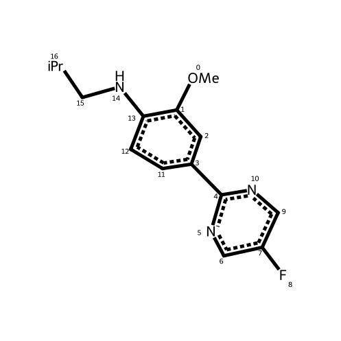 COc1cc(-c2ncc(F)cn2)ccc1NCC(C)C